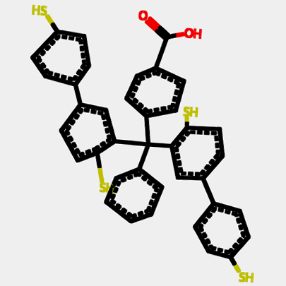 O=C(O)c1ccc(C(c2ccccc2)(c2cc(-c3ccc(S)cc3)ccc2S)c2cc(-c3ccc(S)cc3)ccc2S)cc1